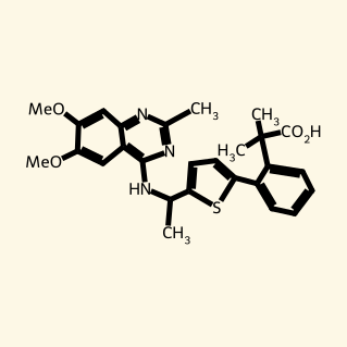 COc1cc2nc(C)nc(NC(C)c3ccc(-c4ccccc4C(C)(C)C(=O)O)s3)c2cc1OC